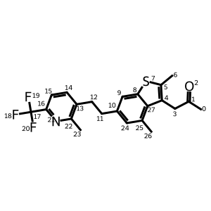 CC(=O)Cc1c(C)sc2cc(CCc3ccc(C(F)(F)F)nc3C)cc(C)c12